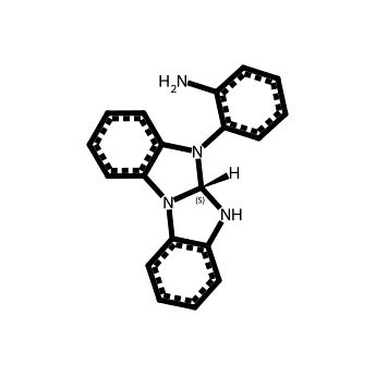 Nc1ccccc1N1c2ccccc2N2c3ccccc3N[C@@H]12